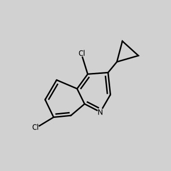 Clc1ccc2c(Cl)c(C3CC3)cnc2c1